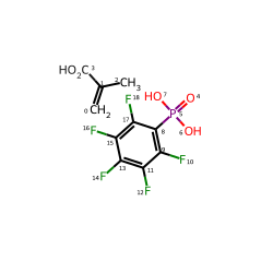 C=C(C)C(=O)O.O=P(O)(O)c1c(F)c(F)c(F)c(F)c1F